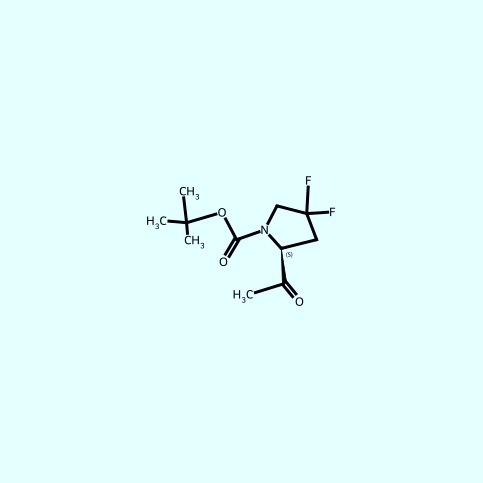 CC(=O)[C@@H]1CC(F)(F)CN1C(=O)OC(C)(C)C